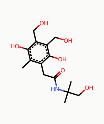 Cc1c(O)c(CO)c(CO)c(O)c1CC(=O)NC(C)(C)CO